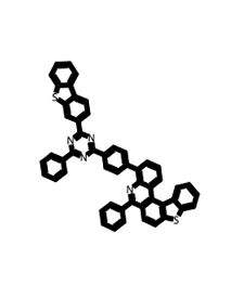 c1ccc(-c2nc(-c3ccc(-c4cccc5c4nc(-c4ccccc4)c4ccc6sc7ccccc7c6c45)cc3)nc(-c3ccc4c(c3)sc3ccccc34)n2)cc1